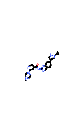 CN1CCN(c2cc(C(=O)Nc3ncc4ccc(-c5cnn(C6CC6)c5)cc4n3)ccn2)CC1